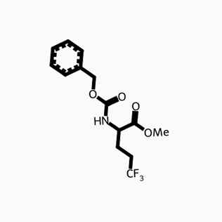 COC(=O)C(CCC(F)(F)F)NC(=O)OCc1ccccc1